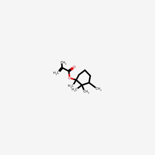 C=C(C)C(=O)OC1(C)CCCC(C)C1(C)C